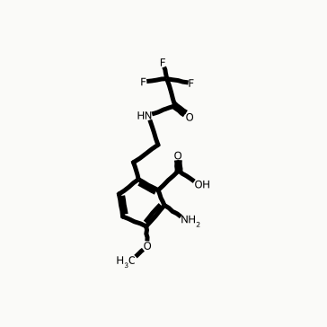 COc1ccc(CCNC(=O)C(F)(F)F)c(C(=O)O)c1N